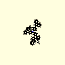 CC1(C)c2ccccc2-c2cccc(-c3ccccc3-c3ccc(N(c4ccc(-c5cc6ccccc6c6ccccc56)cc4)c4ccc5c(c4)C4(c6ccccc6-5)C5CC6CC(C5)CC4C6)cc3)c21